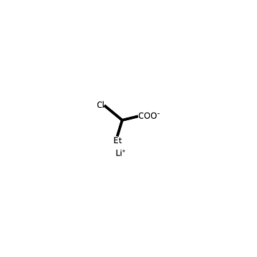 CCC(Cl)C(=O)[O-].[Li+]